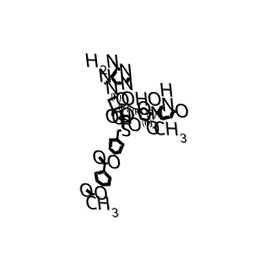 CO[C@@H]1C(OP(=O)(O[C@H]2O[C@@H](n3cnc4c(N)ncnc43)CC2O)SCc2ccc(OC(=O)c3ccc(OC(C)=O)cc3)cc2)[C@@H](CO)O[C@H]1n1ccc(=O)[nH]c1=O